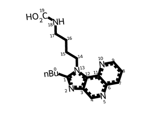 CCCCc1nc2cnc3cccnc3c2n1CCCCNC(=O)O